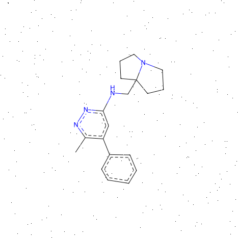 Cc1nnc(NCC23CCCN2CCC3)cc1-c1ccccc1